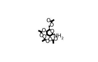 CC(=O)OC[C@H]1O[C@@H](N)[C@@H](OC(C)=O)[C@@H](OC(C)=O)[C@@H]1OC(C)=O